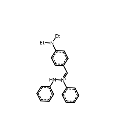 CCN(CC)c1ccc(C=[N+](Nc2ccccc2)c2ccccc2)cc1